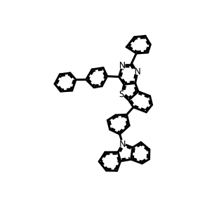 c1ccc(-c2ccc(-c3nc(-c4ccccc4)nc4c3sc3c(-c5cccc(-n6c7ccccc7c7ccccc76)c5)cccc34)cc2)cc1